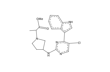 COC(=O)C(C)N1CCC(Nc2ncc(Cl)c(-c3c[nH]c4ccccc34)n2)C1